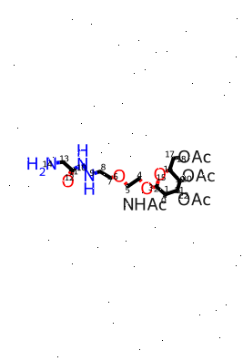 CC(=O)NC1C(OCCOCCNNC(=O)CN)OC(COC(C)=O)C(OC(C)=O)C1OC(C)=O